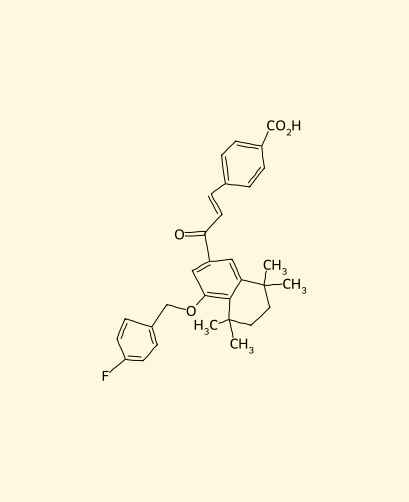 CC1(C)CCC(C)(C)c2c(OCc3ccc(F)cc3)cc(C(=O)C=Cc3ccc(C(=O)O)cc3)cc21